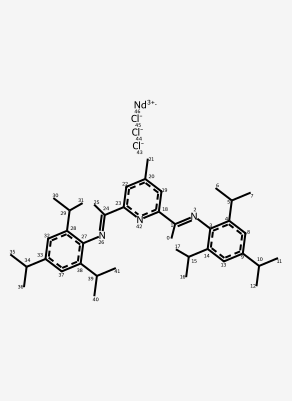 CC(=Nc1c(C(C)C)cc(C(C)C)cc1C(C)C)c1cc(C)cc(C(C)=Nc2c(C(C)C)cc(C(C)C)cc2C(C)C)n1.[Cl-].[Cl-].[Cl-].[Nd+3]